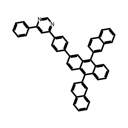 c1ccc(-c2cc(-c3ccc(-c4ccc5c(-c6ccc7ccccc7c6)c6ccccc6c(-c6ccc7ccccc7c6)c5c4)cc3)ncn2)cc1